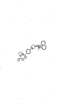 COC(=O)[C@@H]1CCCN1C(=O)c1ccc(N2CC[C@H](N[C@H](C)c3cccc4ccccc34)C2)cc1